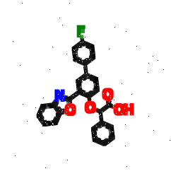 O=C(O)C(Oc1ccc(-c2ccc(F)cc2)cc1-c1nc2ccccc2o1)c1ccccc1